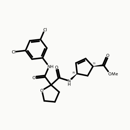 COC(=O)[C@@H]1C=C[C@H](NC(=O)C2(C(=O)Nc3cc(Cl)cc(Cl)c3)CCCO2)C1